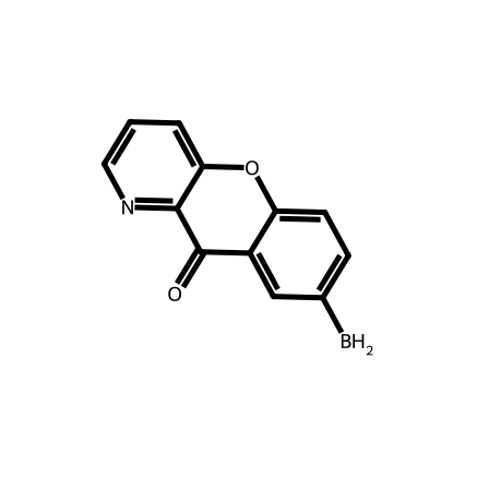 Bc1ccc2oc3cccnc3c(=O)c2c1